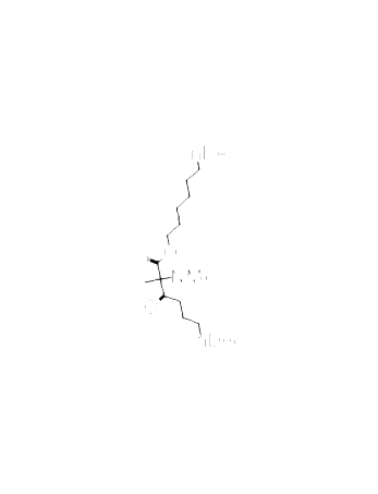 CCCCCCCCCCCCCCCCOC(=O)C(C)(NC)C(=O)CCCCCCCCCCCCC